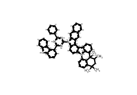 CC1CC(C)(C)c2cccc3c2C1(C)c1cccc2c4c5c6cc7ccccc7cc6n(-c6nc(-c7ccccc7)nc(-c7cccc8sc9ccccc9c78)n6)c5ccc4n-3c12